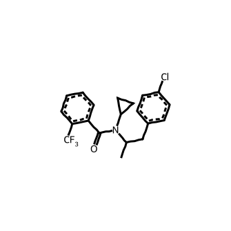 CC(Cc1ccc(Cl)cc1)N(C(=O)c1ccccc1C(F)(F)F)C1CC1